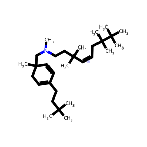 CN(CCC(C)(C)/C=C\CC(C)(C)C(C)(C)C)CC1(C)C=CC(CCC(C)(C)C)=CC1